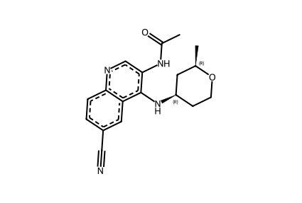 CC(=O)Nc1cnc2ccc(C#N)cc2c1N[C@@H]1CCO[C@H](C)C1